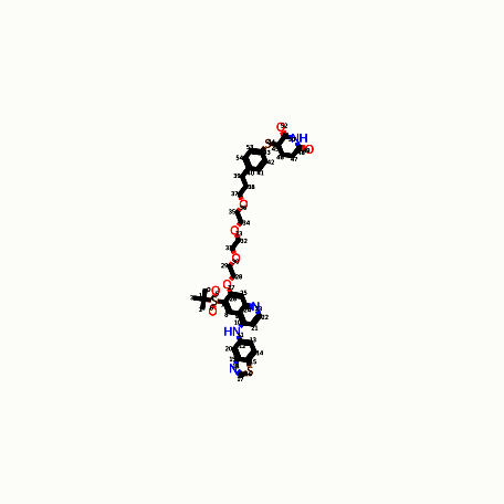 CC(C)(C)S(=O)(=O)c1cc2c(Nc3ccc4scnc4c3)ccnc2cc1OCCOCCOCCOCCCc1ccc(SC2CCC(=O)NC2=O)cc1